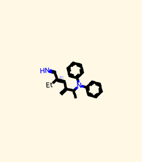 C=C(/C=C(/C=N)CC)C(C)N(c1ccccc1)c1ccccc1